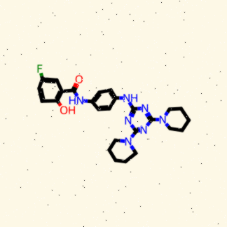 O=C(Nc1ccc(Nc2nc(N3CCCCC3)nc(N3CCCCC3)n2)cc1)c1cc(F)ccc1O